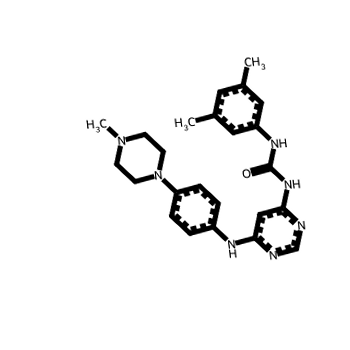 Cc1cc(C)cc(NC(=O)Nc2cc(Nc3ccc(N4CCN(C)CC4)cc3)ncn2)c1